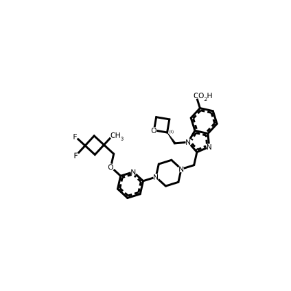 CC1(COc2cccc(N3CCN(Cc4nc5ccc(C(=O)O)cc5n4C[C@@H]4CCO4)CC3)n2)CC(F)(F)C1